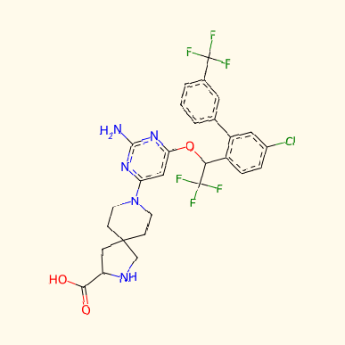 Nc1nc(OC(c2ccc(Cl)cc2-c2cccc(C(F)(F)F)c2)C(F)(F)F)cc(N2CCC3(CC2)CNC(C(=O)O)C3)n1